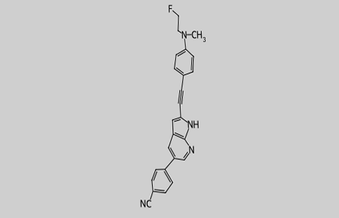 CN(CCF)c1ccc(C#Cc2cc3cc(-c4ccc(C#N)cc4)cnc3[nH]2)cc1